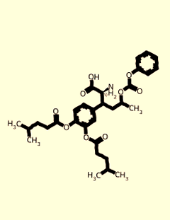 CC(C)CCC(=O)Oc1ccc(C(CC(C)OC(=O)Oc2ccccc2)[C@H](N)C(=O)O)cc1OC(=O)CCC(C)C